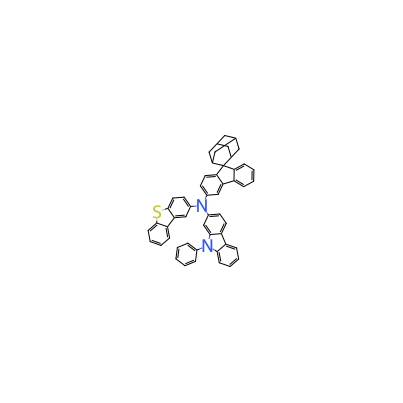 c1ccc(-n2c3ccccc3c3ccc(N(c4ccc5c(c4)-c4ccccc4C54C5CC6CC(C5)CC4C6)c4ccc5sc6ccccc6c5c4)cc32)cc1